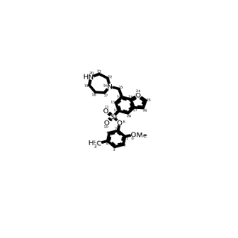 COc1ccc(C)cc1OS(=O)(=O)c1cc(CN2CCCNCC2)c2occc2c1